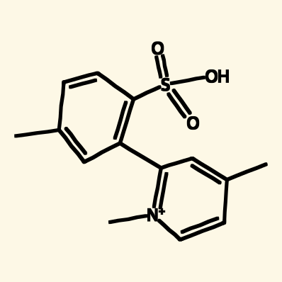 Cc1ccc(S(=O)(=O)O)c(-c2cc(C)cc[n+]2C)c1